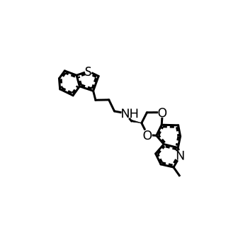 Cc1ccc2c3c(ccc2n1)OC[C@H](CNCCCc1csc2ccccc12)O3